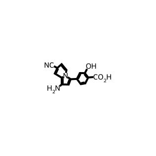 N#Cc1ccn2c(-c3ccc(C(=O)O)c(O)c3)cc(N)c2c1